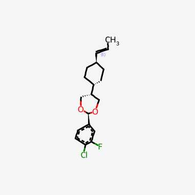 C/C=C/[C@H]1CC[C@H]([C@H]2CO[C@H](c3ccc(Cl)c(F)c3)OC2)CC1